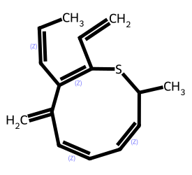 C=C/C1=C(\C=C/C)C(=C)/C=C\C=C/C(C)S1